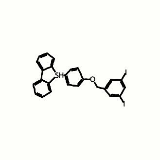 Ic1cc(I)cc(COc2ccc([SH]3c4ccccc4-c4ccccc43)cc2)c1